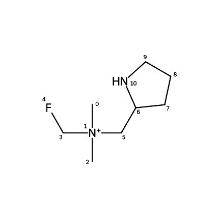 C[N+](C)(CF)CC1CCCN1